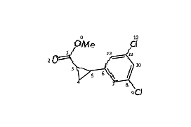 COC(=O)C1CC1c1cc(Cl)cc(Cl)c1